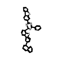 c1ccc(-c2nc(-c3ccc4c(c3)sc3ccccc34)nc(-c3cccc4c3sc3ccc(-c5cccc6ccccc56)cc34)n2)cc1